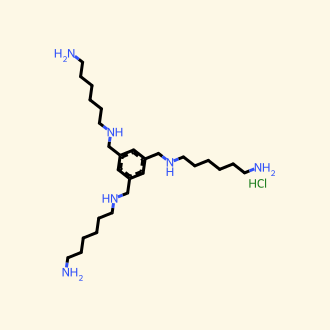 Cl.NCCCCCCNCc1cc(CNCCCCCCN)cc(CNCCCCCCN)c1